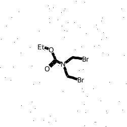 CCOC(=O)N(CBr)CBr